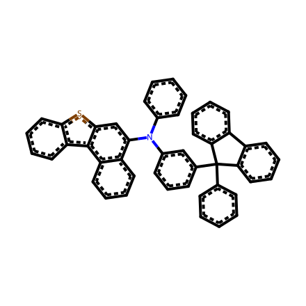 c1ccc(N(c2cccc(C3(c4ccccc4)c4ccccc4-c4ccccc43)c2)c2cc3sc4ccccc4c3c3ccccc23)cc1